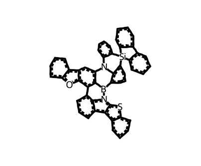 c1ccc2c(c1)-c1ccccc1[Si]21c2ccccc2N2c3cc4c(oc5ccccc54)c4c3B(c3cccc1c32)n1c2sc3ccccc3c2c2cccc-4c21